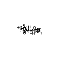 CSC1=C(C(=O)O)N2C(=O)[C@H]([C@H](C)NC(=O)CNC(=O)[C@@H](N)CC(C)C)[C@H]2[C@H]1C